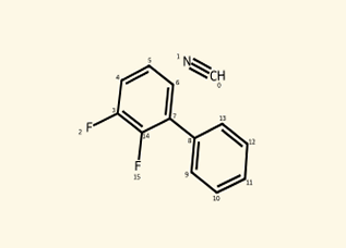 C#N.Fc1cccc(-c2ccccc2)c1F